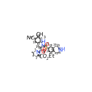 CCOC(=O)[C@H]1CC=CCN1C(=O)[C@H](Cc1ccc(C)c(C#N)c1)NS(=O)(=O)c1ccc2c(c1)CCNCC2